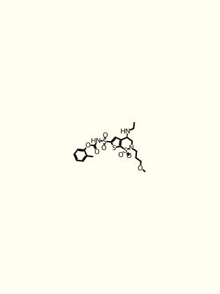 CCN[C@H]1CN(CCCOC)S(=O)(=O)c2sc(S(=O)(=O)NC(=O)Oc3ccccc3C)cc21